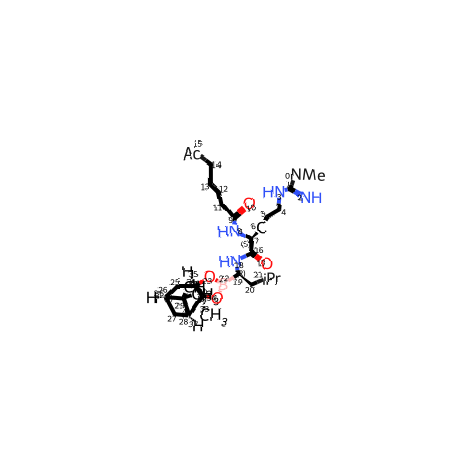 CNC(=N)NCCC[C@H](NC(=O)CCCCC(C)=O)C(=O)N[C@@H](CC(C)C)B1O[C@@H]2C[C@@H]3C[C@@H](C3(C)C)[C@]2(C)O1